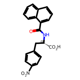 O=C(N[C@@H](Cc1ccc([N+](=O)[O-])cc1)C(=O)O)c1cccc2ccccc12